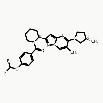 Cc1cn2nc([C@@H]3CCCCN3C(=O)c3ccc(OC(F)F)cc3)cc2nc1N1CC[C@H](C)C1